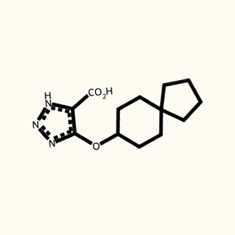 O=C(O)c1[nH]nnc1OC1CCC2(CCCC2)CC1